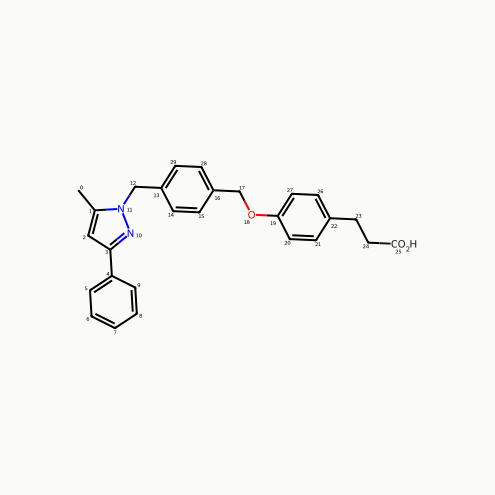 Cc1cc(-c2ccccc2)nn1Cc1ccc(COc2ccc(CCC(=O)O)cc2)cc1